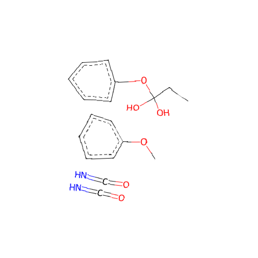 CCC(O)(O)Oc1ccccc1.COc1ccccc1.N=C=O.N=C=O